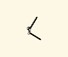 CC#CC#CC#CC#CC#CC(=O)OC[C@@H](CO)OC(=O)CCCCCCCCCCCCC